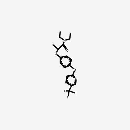 CCN(CC)C(=O)C(C)Oc1ccc(Oc2ccc(C(F)(F)F)cn2)cc1